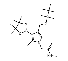 CNC(=O)Cn1nc(CO[Si](C)(C)C(C)(C)C)c(B2OC(C)(C)C(C)(C)O2)c1C